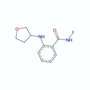 O=C(NF)c1ccccc1NC1CCOC1